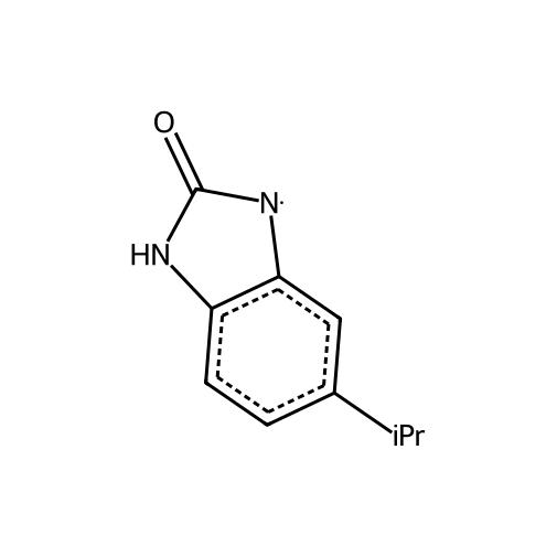 CC(C)c1ccc2c(c1)[N]C(=O)N2